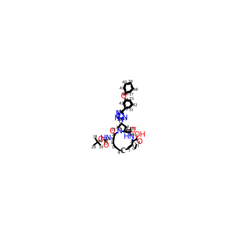 CC[C@]1(C(=O)O)/C=C\CCCC[C@H](NC(=O)OC(C)(C)C)C(=O)N2C[C@H](n3nnc(-c4cccc(Oc5ccccc5)c4)n3)C[C@H]2C(=O)N1